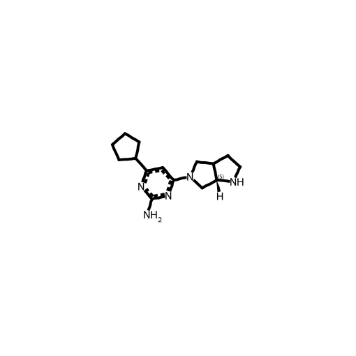 Nc1nc(C2CCCC2)cc(N2CC3CCN[C@@H]3C2)n1